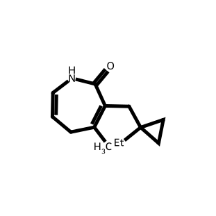 CCC1(CC2=C(C)CC=CNC2=O)CC1